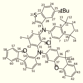 Cc1cc(N(c2ccc3c(c2)C(C)(C)CCC3(C)C)c2csc3ccc(C(C)(C)C)cc23)c(Cl)c(N(c2ccc3c(c2)Oc2ccccc2C3(C)C)c2cccc3c2oc2ccccc23)c1